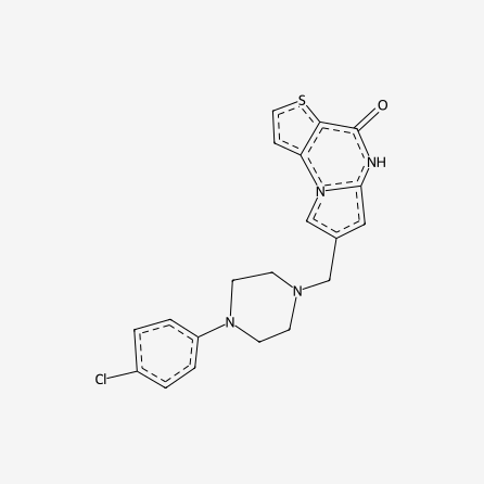 O=c1[nH]c2cc(CN3CCN(c4ccc(Cl)cc4)CC3)cn2c2ccsc12